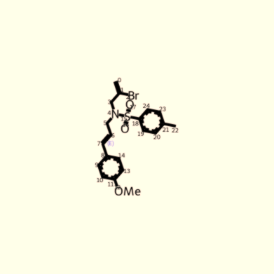 C=C(Br)CN(C/C=C/c1ccc(OC)cc1)S(=O)(=O)c1ccc(C)cc1